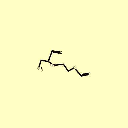 CCC(C=O)NCCO[C]=O